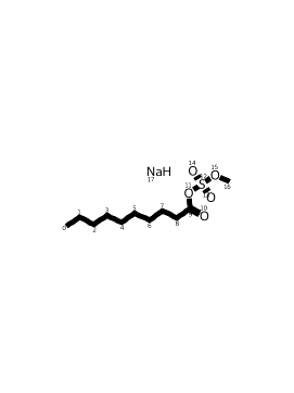 CCCCCCCCCC(=O)OS(=O)(=O)OC.[NaH]